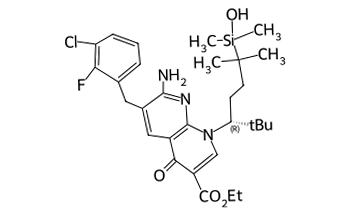 CCOC(=O)c1cn([C@H](CCC(C)(C)[Si](C)(C)O)C(C)(C)C)c2nc(N)c(Cc3cccc(Cl)c3F)cc2c1=O